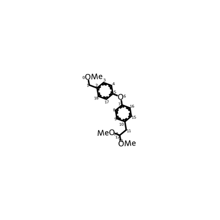 COCc1ccc(Oc2ccc(CC(OC)OC)cc2)cc1